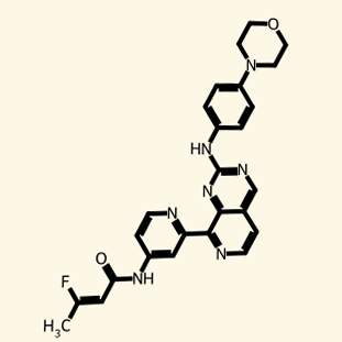 CC(F)=CC(=O)Nc1ccnc(-c2nccc3cnc(Nc4ccc(N5CCOCC5)cc4)nc23)c1